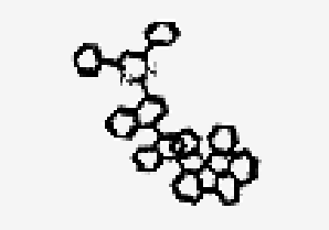 c1ccc(-c2cc(-c3ccccc3)nc(-c3ccc(-c4ccc(-c5cccc6c5C(c5ccccc5)(c5ccccc5)c5c-6ccc6ccccc56)c5ccccc45)c4ccccc34)n2)cc1